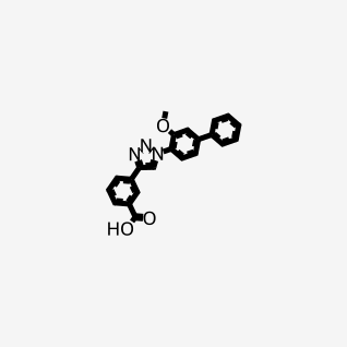 COc1cc(-c2ccccc2)ccc1-n1cc(-c2cccc(C(=O)O)c2)nn1